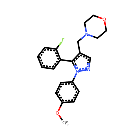 Fc1ccccc1-c1c(CN2CCOCC2)cnn1-c1ccc(OC(F)(F)F)cc1